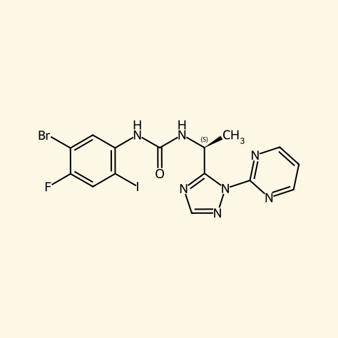 C[C@H](NC(=O)Nc1cc(Br)c(F)cc1I)c1ncnn1-c1ncccn1